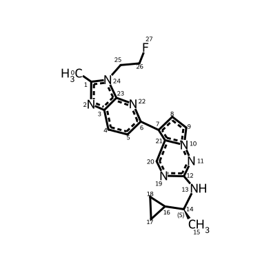 Cc1nc2ccc(-c3ccn4nc(N[C@@H](C)C5CC5)ncc34)nc2n1CCF